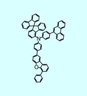 c1ccc(-c2cccc3c2oc2ccc(-c4ccc(N(c5ccc(-c6cc7ccccc7c7ccccc67)cc5)c5cccc6c5-c5ccccc5C65c6ccccc6-c6ccccc65)cc4)cc23)cc1